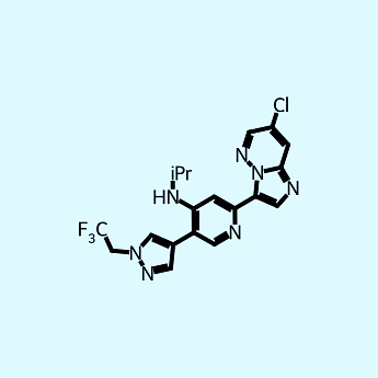 CC(C)Nc1cc(-c2cnc3cc(Cl)cnn23)ncc1-c1cnn(CC(F)(F)F)c1